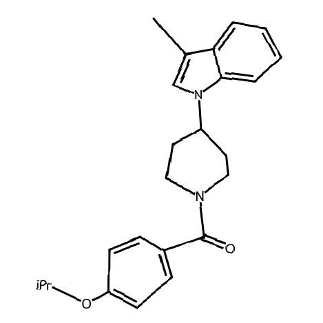 Cc1cn(C2CCN(C(=O)c3ccc(OC(C)C)cc3)CC2)c2ccccc12